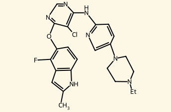 CCN1CCN(c2ccc(Nc3ncnc(Oc4ccc5[nH]c(C)cc5c4F)c3Cl)nc2)CC1